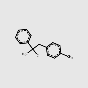 Cc1ccc(CC(C)(Cl)c2ccccc2)cc1